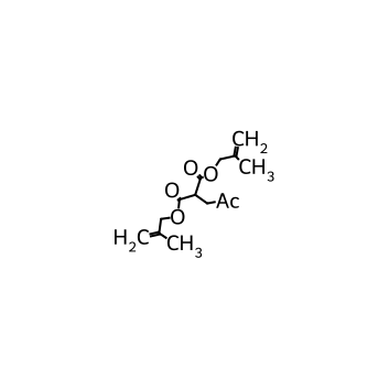 C=C(C)COC(=O)C(CC(C)=O)C(=O)OCC(=C)C